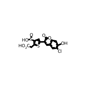 O=C(O)Cc1sc(-c2cc3cc(Cl)c(O)cc3oc2=O)cc1S(=O)O